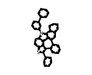 c1ccc(-c2cccc(-n3c4ccc5sc(-c6ccccc6)c6c5c4c4c(cc5ccccc5c43)-c3ccccc3-6)c2)cc1